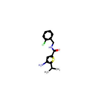 CC(C)c1sc(C(=O)NCc2ccccc2Cl)cc1N